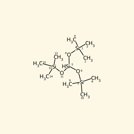 C[Si](C)(C)O[SiH](O[Si](C)(C)C)O[Si](C)(C)C